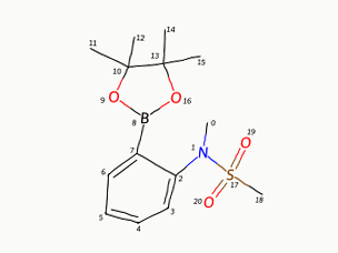 CN(c1ccccc1B1OC(C)(C)C(C)(C)O1)S(C)(=O)=O